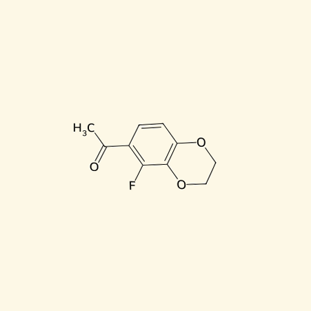 CC(=O)c1ccc2c(c1F)OCCO2